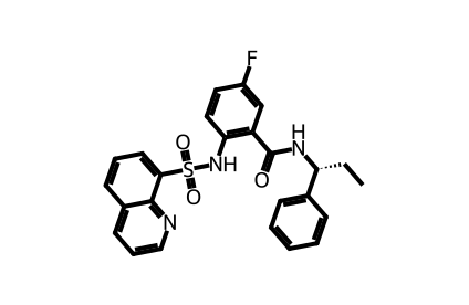 CC[C@@H](NC(=O)c1cc(F)ccc1NS(=O)(=O)c1cccc2cccnc12)c1ccccc1